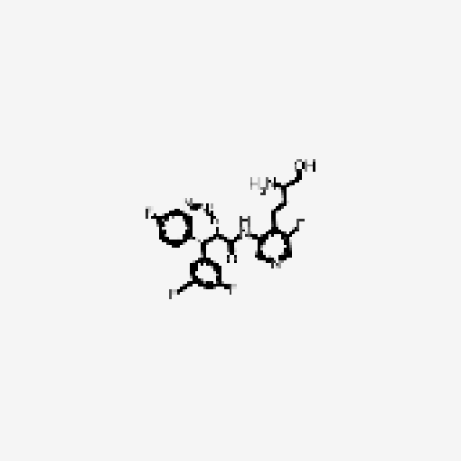 [N-]=[N+]=N[C@H](C(=O)Nc1cncc(F)c1CCC(N)CO)[C@@H](c1ccc(F)cc1)c1cc(F)cc(F)c1